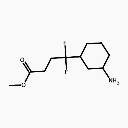 COC(=O)CCC(F)(F)C1CCCC(N)C1